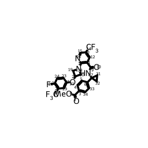 COC(=O)c1ccc(C2(NC(=O)c3cc(C(F)(F)F)cnc3N3CC(Oc4ccc(F)c(C(F)(F)F)c4)C3)CC2)cc1